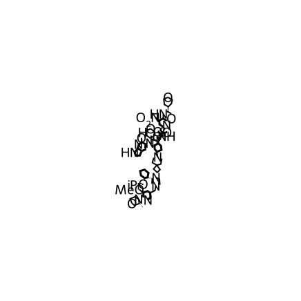 COc1cc(CN2CCN(C3CC4(CCN(c5ccc(C(=O)NS(=O)(=O)c6cc([N+](=O)[O-])c7c(n6)OC[C@H](C6CCOCC6)N7)c(N6c7cc8cc[nH]c8nc7O[C@H]7COCC[C@@H]76)c5)CC4)C3)[C@@H](c3ccccc3OC(C)C)C2)cnc1N1CCOC[C@H]1C